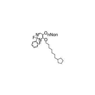 CCCCCCCCCOC1=C(OCCCCCCCC2CCCC2)N(F)C(F)(c2ccccc2)N=C1